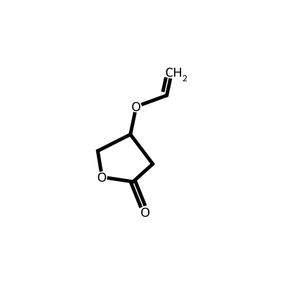 C=COC1COC(=O)C1